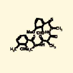 COc1cccc(C(=S)N(C)NC(=O)C(C)C(=O)NN(C)C(=S)c2cccc(C)c2OC)c1C=O